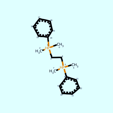 C[PH](C)(CC[PH](C)(C)c1ccccc1)c1ccccc1